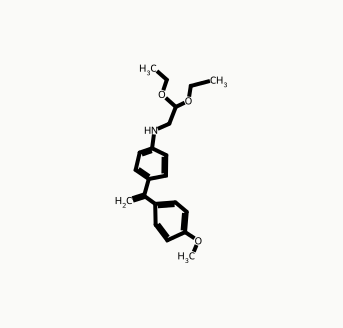 C=C(c1ccc(NCC(OCC)OCC)cc1)c1ccc(OC)cc1